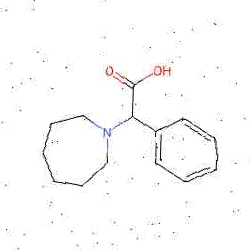 O=C(O)C(c1ccccc1)N1CCCCCC1